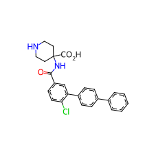 O=C(NC1(C(=O)O)CCNCC1)c1ccc(Cl)c(-c2ccc(-c3ccccc3)cc2)c1